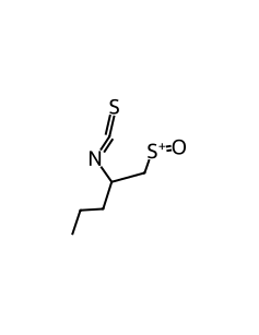 CCCC(C[S+]=O)N=C=S